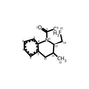 CC(=O)N1c2ccccc2CC(C)[C@@H]1CF